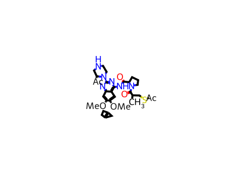 C1CC2=C1C2.COc1cc2nc(N3CCNCC3C(C)=O)nc(NC(=O)C3CCCN3C(=O)C(C)CSC(C)=O)c2cc1OC